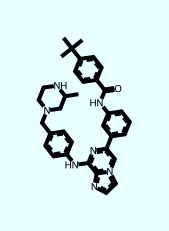 CC1CN(Cc2ccc(Nc3nc(-c4cccc(NC(=O)c5ccc(C(C)(C)C)cc5)c4)cn4ccnc34)cc2)CCN1